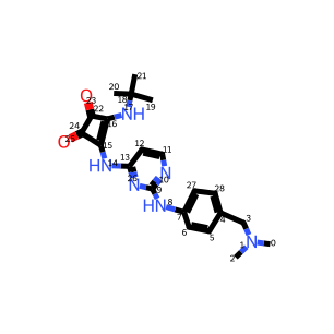 CN(C)Cc1ccc(Nc2nccc(Nc3c(NC(C)(C)C)c(=O)c3=O)n2)cc1